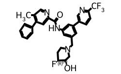 Cc1cnc(C(=O)Nc2cc(CN3CC[C@@H](F)[C@H](O)C3)cc(-c3ccc(C(F)(F)F)nc3)c2)cc1-c1ccccc1